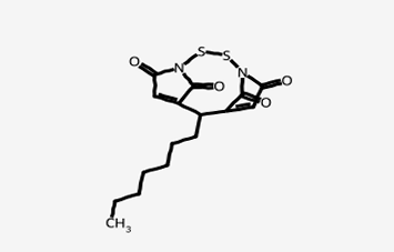 CCCCCCCC1C2=CC(=O)N(SSN3C(=O)C=C1C3=O)C2=O